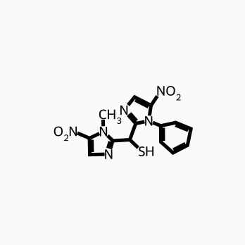 Cn1c([N+](=O)[O-])cnc1C(S)c1ncc([N+](=O)[O-])n1-c1ccccc1